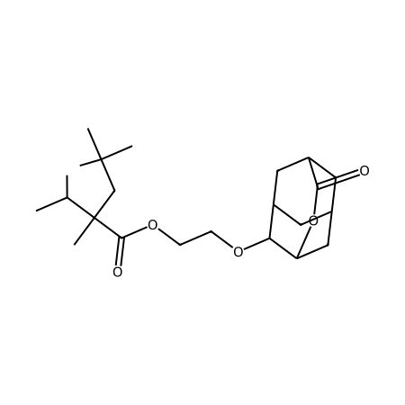 CC(C)C(C)(CC(C)(C)C)C(=O)OCCOC1C2CC3CC(C2)C(=O)OC1C3